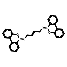 C(=C\CSP1Oc2ccccc2-c2ccccc21)/CSP1Oc2ccccc2-c2ccccc21